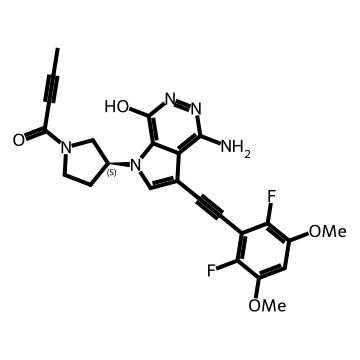 CC#CC(=O)N1CC[C@H](n2cc(C#Cc3c(F)c(OC)cc(OC)c3F)c3c(N)nnc(O)c32)C1